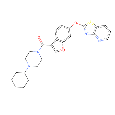 O=C(c1coc2cc(Oc3nc4ncccc4s3)ccc12)N1CCN(C2CCCCC2)CC1